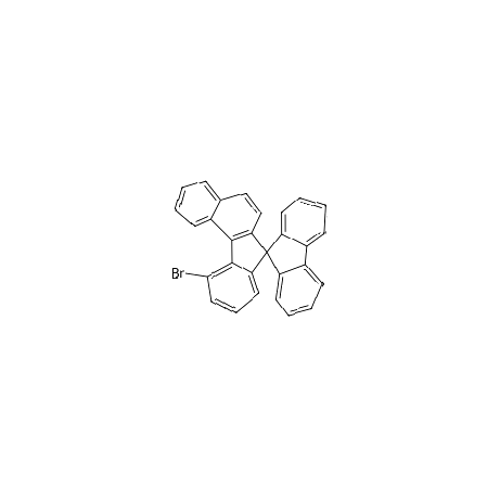 Brc1cccc2c1-c1c(ccc3ccccc13)C21c2ccccc2-c2ccccc21